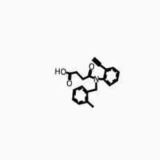 C#Cc1ccccc1N(Cc1ccccc1C)C(=O)CCC(=O)O